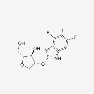 OC[C@H]1OC[C@@H](Oc2nc3c(F)c(I)c(F)cc3[nH]2)[C@@H]1O